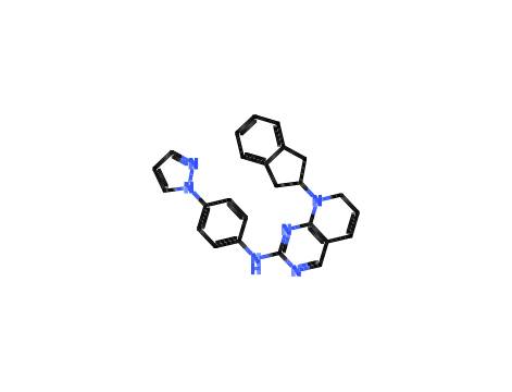 C1=Cc2cnc(Nc3ccc(-n4cccn4)cc3)nc2N(C2Cc3ccccc3C2)C1